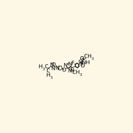 CCC(=O)NS(=O)(=O)c1ccc(-c2c3ncnc(OC4CCN(c5nc(C(C)C)no5)CC4)c3nn2C)c(F)c1